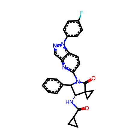 O=C(N[C@@H]1C(c2ccccc2)N(c2ccc3c(cnn3-c3ccc(F)cc3)n2)C(=O)C12CC2)C1CC1